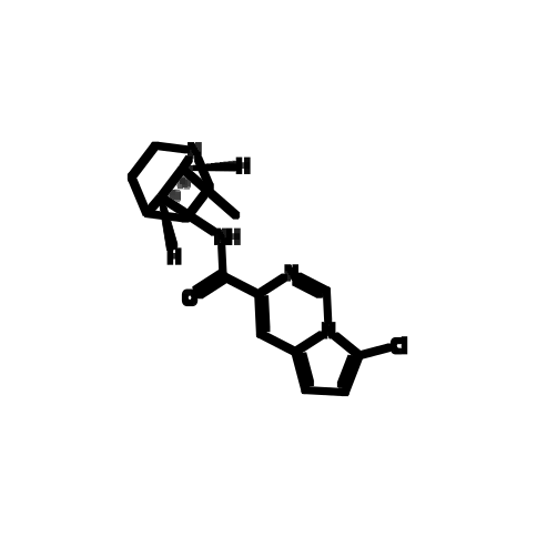 C[C@H]1[C@H](NC(=O)c2cc3ccc(Cl)n3cn2)C2CCN1CC2